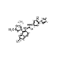 C[C@@H]1CN(c2c(NC(=O)Nc3cnc(-n4nccn4)c(Cl)c3)cnn3cc(Cl)nc23)C[C@H](C)O1